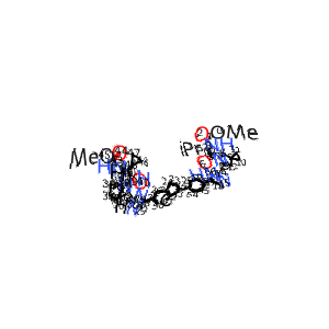 COC(=O)N[C@H](C(=O)N1CC2(CC2)C[C@H]1c1ncc(-c2ccc(-c3ccc4cc(C5CN=C([C@@H]6[C@H]7CC[C@H](C7)N6C(=O)[C@@H](NC(=O)OC)C6CC6)N5)ccc4c3)cc2)[nH]1)C(C)C